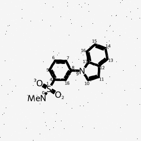 CNS(=O)(=O)c1cccc(-n2ccc3c[c]ccc32)c1